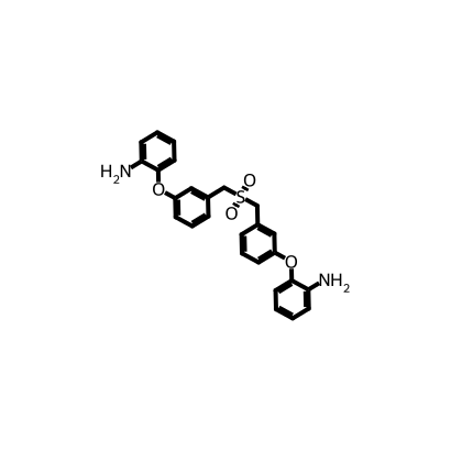 Nc1ccccc1Oc1cccc(CS(=O)(=O)Cc2cccc(Oc3ccccc3N)c2)c1